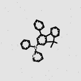 CC1(C)c2ccccc2-c2c(-c3ccccc3)cc(N(c3ccccc3)c3ccccc3)cc21